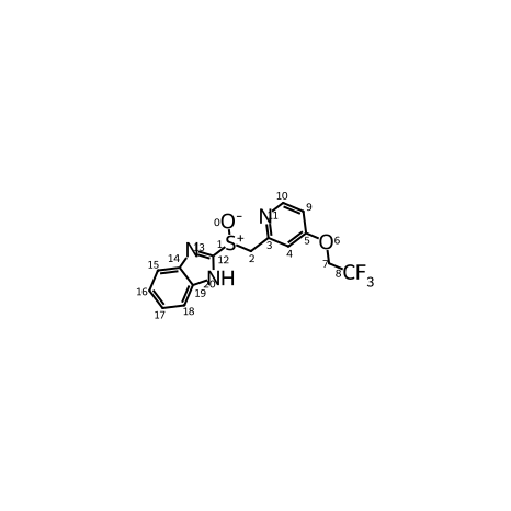 [O-][S+](Cc1cc(OCC(F)(F)F)ccn1)c1nc2ccccc2[nH]1